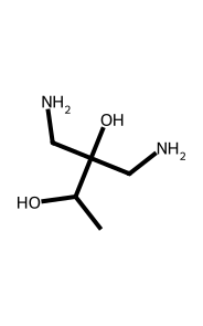 CC(O)C(O)(CN)CN